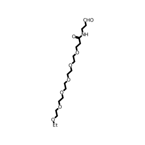 CCOCCOCCOCCOCCOCCOCCC(=O)NCCC=O